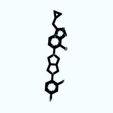 Fc1ccc(N2CC3CN(c4ccn5c(CC6CC6)nnc5c4Cl)CC3C2)c(F)c1